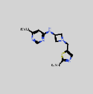 COc1cc(NC2CN(Cc3cnc(NC(C)=O)s3)C2)ncn1